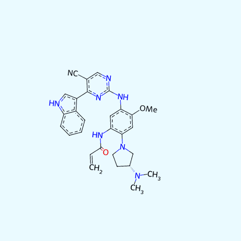 C=CC(=O)Nc1cc(Nc2ncc(C#N)c(-c3c[nH]c4ccccc34)n2)c(OC)cc1N1CC[C@@H](N(C)C)C1